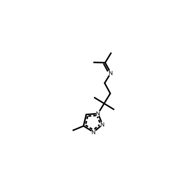 CC(C)=NCCC(C)(C)n1cc(C)nn1